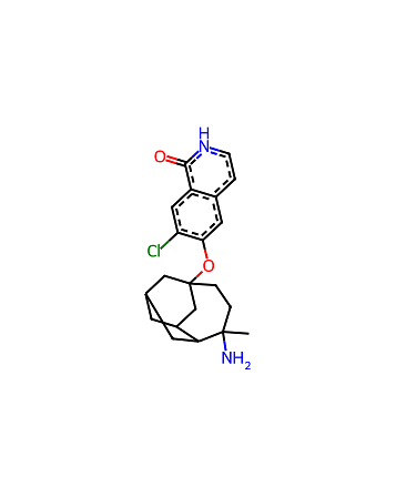 CC1(N)CCC2(Oc3cc4cc[nH]c(=O)c4cc3Cl)CC3CC(C2)C1C3